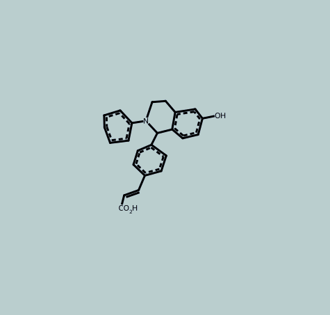 O=C(O)C=Cc1ccc(C2c3ccc(O)cc3CCN2c2ccccc2)cc1